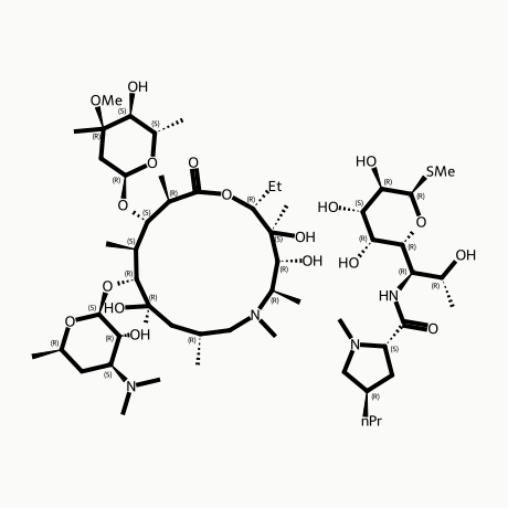 CCC[C@@H]1C[C@@H](C(=O)N[C@@H]([C@H]2O[C@H](SC)[C@H](O)[C@@H](O)[C@H]2O)[C@@H](C)O)N(C)C1.CC[C@H]1OC(=O)[C@H](C)[C@@H](O[C@H]2C[C@@](C)(OC)[C@@H](O)[C@H](C)O2)[C@H](C)[C@@H](O[C@@H]2O[C@H](C)C[C@H](N(C)C)[C@H]2O)[C@](C)(O)C[C@@H](C)CN(C)[C@H](C)[C@@H](O)[C@]1(C)O